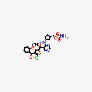 COc1ccccc1C(O)c1cc(C(=O)c2cncnc2N[C@H]2CC[C@@H](COS(N)(=O)=O)C2)sc1Cl